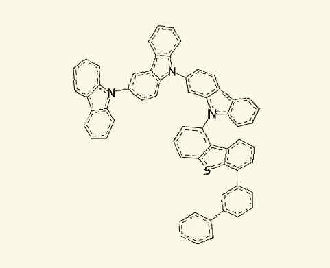 c1ccc(-c2cccc(-c3cccc4c3sc3cccc(-n5c6ccccc6c6ccc(-n7c8ccccc8c8cc(-n9c%10ccccc%10c%10ccccc%109)ccc87)cc65)c34)c2)cc1